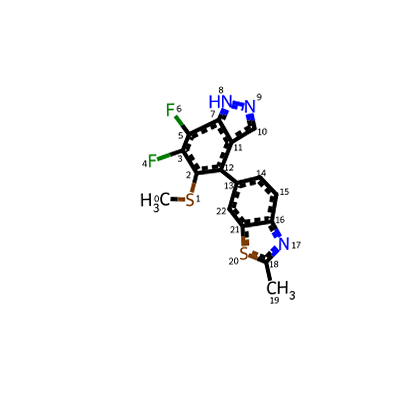 CSc1c(F)c(F)c2[nH]ncc2c1-c1ccc2nc(C)sc2c1